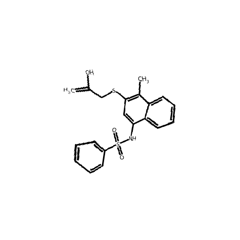 C=C(O)CSc1cc(NS(=O)(=O)c2ccccc2)c2ccccc2c1C